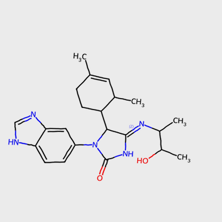 CC1=CC(C)C(C2/C(=N/C(C)C(C)O)NC(=O)N2c2ccc3[nH]cnc3c2)CC1